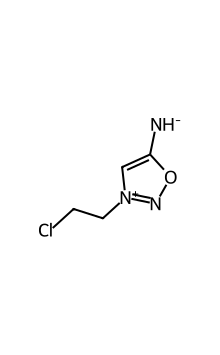 [NH-]c1c[n+](CCCl)no1